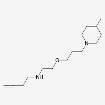 C#CCCNCCOCCCN1CCC(C)CC1